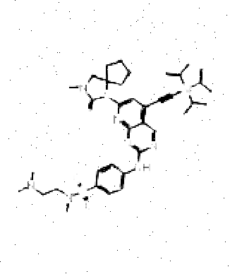 CC(C)[Si](C#Cc1cc(N2C(=O)N(C)CC23CCCC3)nc2nc(Nc3ccc(S(=O)(=O)N(C)CCN(C)C)cc3)ncc12)(C(C)C)C(C)C